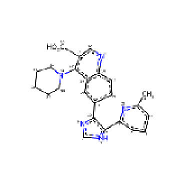 Cc1cccc(-c2[nH]cnc2-c2ccc3ncc(C(=O)O)c(N4CCCCC4)c3c2)n1